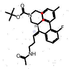 CC(=O)NCC/C=C(\c1cccc(F)c1-c1cccc(C)c1)[C@@H]1CCCN(C(=O)OC(C)(C)C)C1